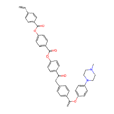 C=C(Oc1ccc(N2CCN(C)CC2)cc1)c1ccc(CC(=O)c2ccc(OC(=O)c3ccc(OC(=O)c4ccc(CCCCCCCCC)cc4)cc3)cc2)cc1